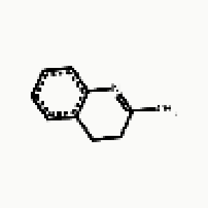 CC1=Nc2ccccc2CC1